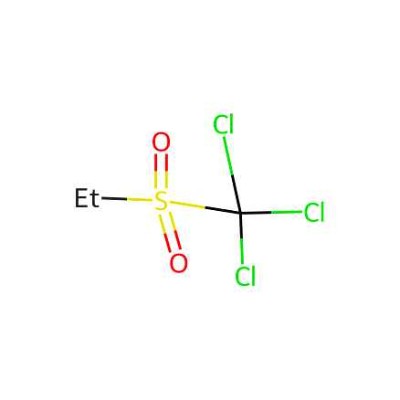 [CH2]CS(=O)(=O)C(Cl)(Cl)Cl